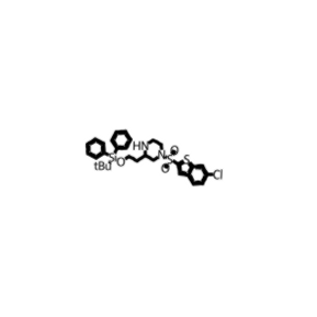 CC(C)(C)[Si](OCCC1CN(S(=O)(=O)c2cc3ccc(Cl)cc3s2)CCN1)(c1ccccc1)c1ccccc1